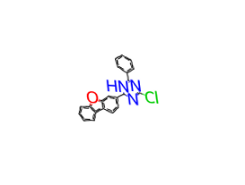 ClC1=NC(c2ccc3c(c2)oc2ccccc23)NC(c2ccccc2)=N1